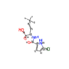 CC(C)(C)C=CC(NC(=O)c1ccc(Cl)[nH]1)C(=O)O